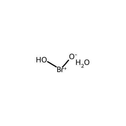 O.[O-][Br+]O